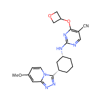 COc1ccn2c([C@H]3CCC[C@@H](Nc4ncc(C#N)c(OC5COC5)n4)C3)nnc2c1